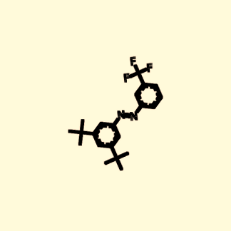 CC(C)(C)c1cc(N=Nc2cccc(C(F)(F)F)c2)cc(C(C)(C)C)c1